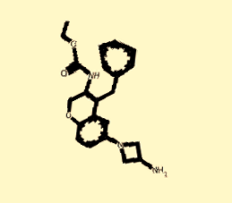 CCOC(=O)NC1COc2ccc(N3CC(N)C3)cc2C1Cc1ccccc1